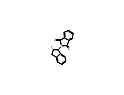 C[C@H]1Cc2ccccc2[C@@H]1N1C(=O)c2ccccc2C1=O